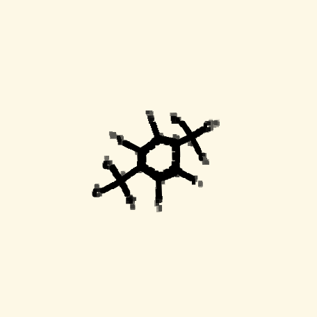 Fc1c(F)c(C(Cl)(Cl)Br)c(F)c(F)c1C(Cl)(Cl)Br